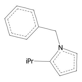 CC(C)c1cccn1Cc1ccccc1